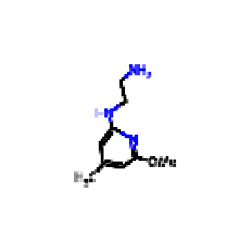 COc1cc(C)cc(NCCN)n1